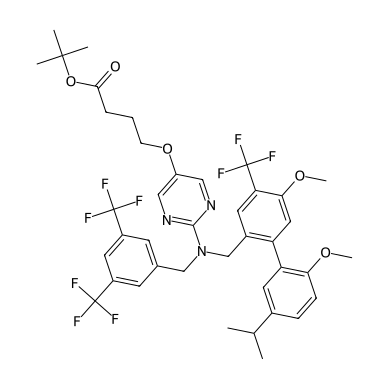 COc1ccc(C(C)C)cc1-c1cc(OC)c(C(F)(F)F)cc1CN(Cc1cc(C(F)(F)F)cc(C(F)(F)F)c1)c1ncc(OCCCC(=O)OC(C)(C)C)cn1